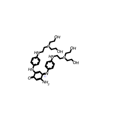 NC1=CC(=O)C(Nc2ccc(NCCN(CCO)CCO)cc2)=C/C1=N\c1ccc(NCCN(CCO)CCO)cc1